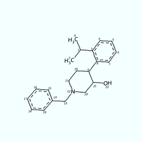 CC(C)c1ccccc1C1CCN(Cc2ccccc2)CC1O